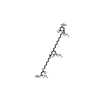 C=C=C=CC(CCCC)CC(=O)OCCCCCCCCCCC(CCCCCCCCCCOC(=O)CC(C)CCCC)CN(C)C